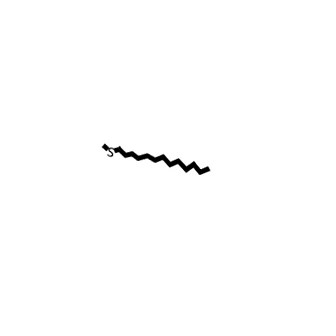 CCCCCCCCCCCC[CH]SC